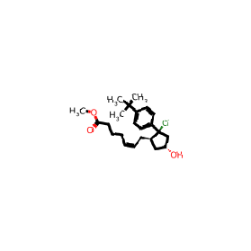 COC(=O)CCC/C=C\C[C@@H]1C[C@@H](O)C[C@@]1(Cl)c1ccc(C(C)(C)C)cc1